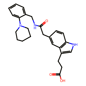 O=C(O)CCc1c[nH]c2ccc(CC(=O)NCc3ccccc3N3CCCCC3)cc12